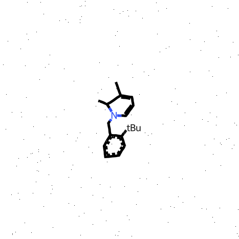 CC1=CC=CN(Cc2ccccc2C(C)(C)C)C1C